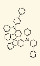 C1=CC2=C(CC1)C1(C3=C(CCC(N(C4=CC(c5ccccc5)=CCC4)c4ccccc4)=C3)c3ccccc31)c1cccc(N(C3=CC=C(c4ccccc4)CC3)c3ccccc3)c12